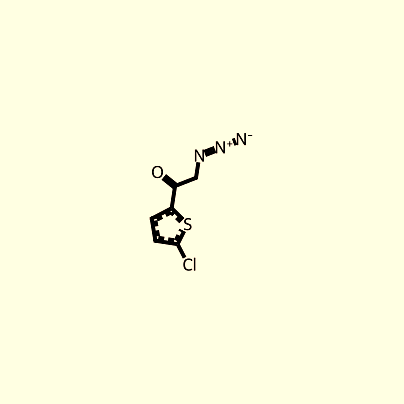 [N-]=[N+]=NCC(=O)c1ccc(Cl)s1